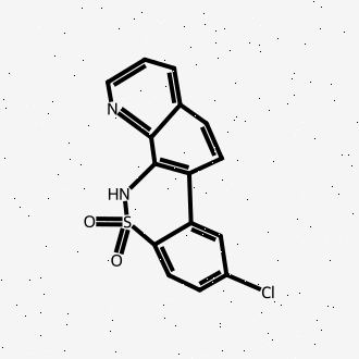 O=S1(=O)Nc2c(ccc3cccnc23)-c2cc(Cl)ccc21